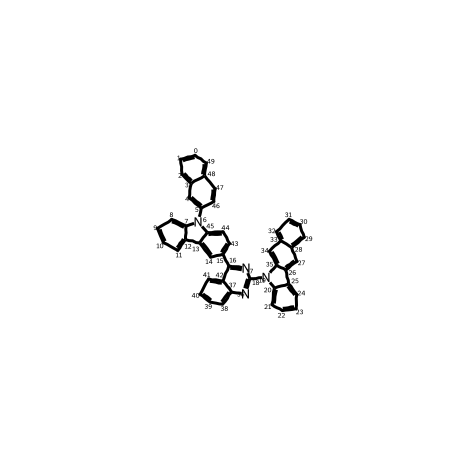 c1ccc2cc(-n3c4ccccc4c4cc(-c5nc(-n6c7ccccc7c7cc8ccccc8cc76)nc6ccccc56)ccc43)ccc2c1